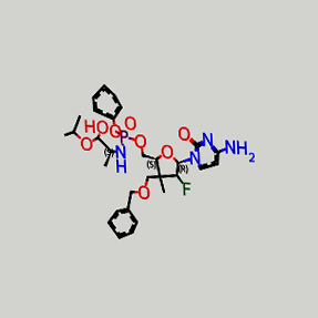 CC(C)OC(O)[C@H](C)NP(=O)(OC[C@H]1O[C@@H](n2ccc(N)nc2=O)C(F)C1(C)COCc1ccccc1)Oc1ccccc1